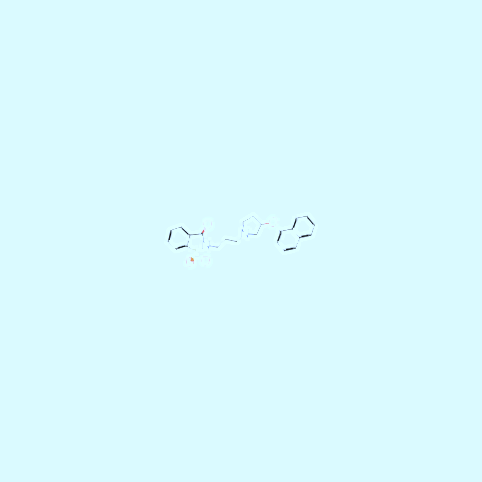 O=C1c2ccccc2S(=O)(=O)N1CCCN1CCC(Oc2cccc3ccccc23)C1